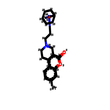 CC(C)c1ccc2c3c(c(=O)oc2c1)CN(CCN1CC2CCC(CC2)C1)CC3